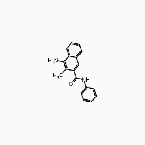 Cc1c(C(=O)Nc2ccccc2)cc2ccccc2c1N